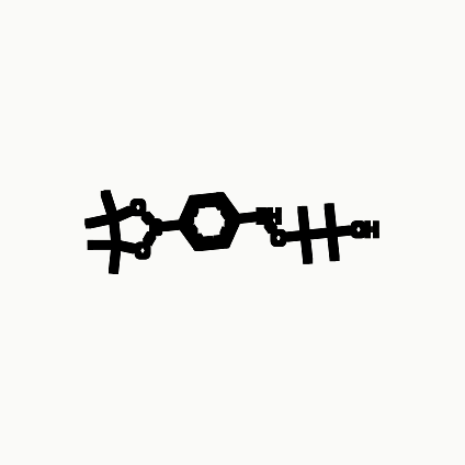 CC(C)(O)C(C)(C)OBc1ccc(B2OC(C)(C)C(C)(C)O2)cc1